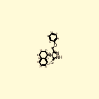 S=c1[nH]nc(COc2ccccc2)n1C1CCCc2ccccc21